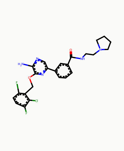 Nc1ncc(-c2cccc(C(=O)NCCN3CCCC3)c2)nc1OCc1c(F)ccc(F)c1Cl